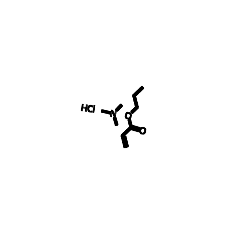 C=CC(=O)OCCC.CN(C)C.Cl